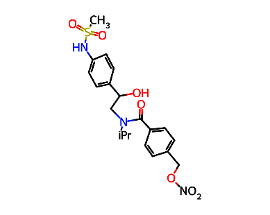 CC(C)N(CC(O)c1ccc(NS(C)(=O)=O)cc1)C(=O)c1ccc(CO[N+](=O)[O-])cc1